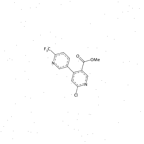 COC(=O)c1cnc(Cl)cc1-c1ccc(C(F)(F)F)nc1